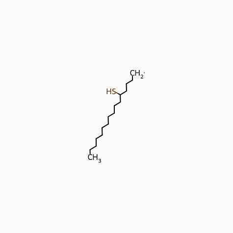 [CH2]CCCC(S)CCCCCCCCCCC